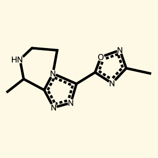 Cc1noc(-c2nnc3n2CCNC3C)n1